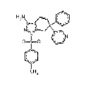 Cc1ccc(S(=O)(=O)n2nc(N)c3c2CC(c2ccccc2)(c2cccnc2)C=C3)cc1